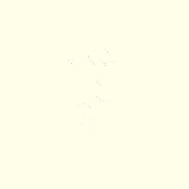 COc1ccc2ncc(=O)n(CCN3CC[C@@H]4CN(c5ccc6c(c5)OCCO6)C(=O)O[C@H]4C3)c2n1